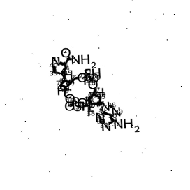 NC(=O)c1cc([C@@H]2C[C@@H]3COP(=O)(S)O[C@@H]4[C@@H](COP(=O)(S)OC[C@H]32)C[C@@H](n2cnc3c(N)ncnc32)[C@H]4F)ccn1